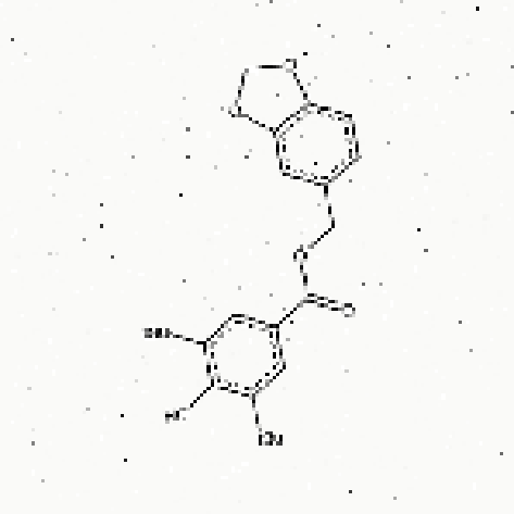 CC(C)(C)c1cc(C(=O)OCc2ccc3c(c2)OCO3)cc(C(C)(C)C)c1O